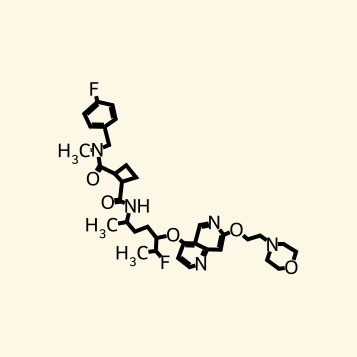 CC(CCC(Oc1ccnc2cc(OCCN3CCOCC3)ncc12)C(C)F)NC(=O)C1CCC1C(=O)N(C)Cc1ccc(F)cc1